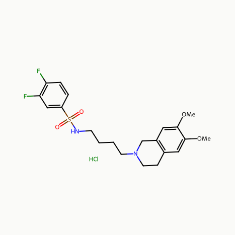 COc1cc2c(cc1OC)CN(CCCCNS(=O)(=O)c1ccc(F)c(F)c1)CC2.Cl